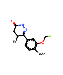 CCC1CC(=O)NN=C1c1ccc(OC)c(OCF)c1